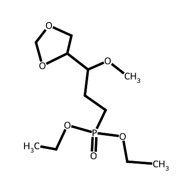 CCOP(=O)(CCC(OC)C1COCO1)OCC